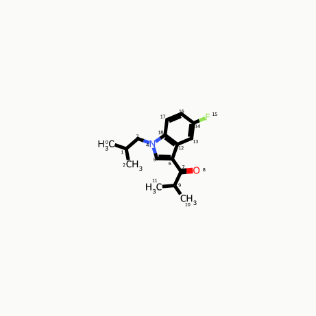 CC(C)Cn1cc(C(=O)C(C)C)c2cc(F)ccc21